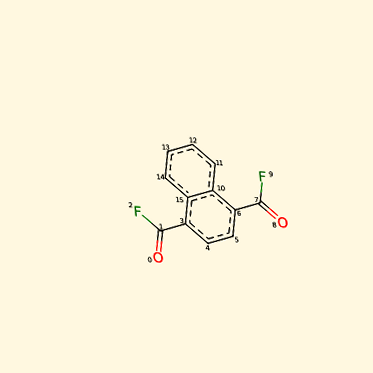 O=C(F)c1ccc(C(=O)F)c2ccccc12